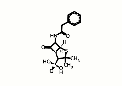 CC1(C)S[C@@H]2C(NC(=O)Cc3ccccc3)C(=O)N2C1P(=O)(O)O